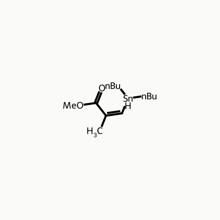 CCC[CH2][SnH]([CH]=C(C)C(=O)OC)[CH2]CCC